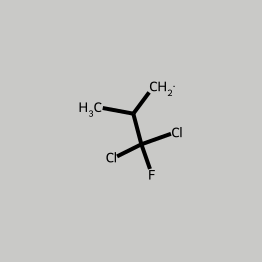 [CH2]C(C)C(F)(Cl)Cl